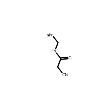 [CH2]CCCNC(=O)CC#N